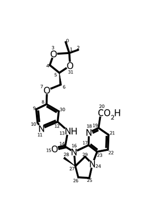 CC1(C)OC[C@H](COc2ccnc(NC(=O)N3c4nc(C(=O)O)ccc4N4CC[C@@]3(C)C4)c2)O1